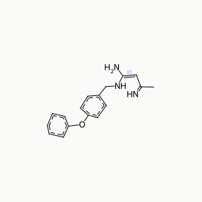 CC(=N)/C=C(/N)NCc1ccc(Oc2ccccc2)cc1